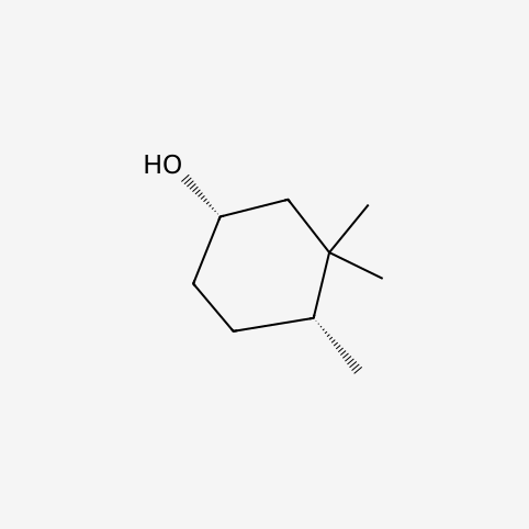 C[C@@H]1CC[C@H](O)CC1(C)C